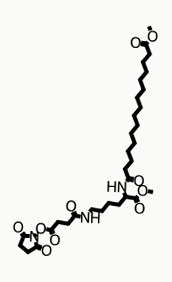 COC(=O)CCCCCCCCCCCCCCC(=O)NC(CCCCNC(=O)CCC(=O)ON1C(=O)CCC1=O)C(=O)OC